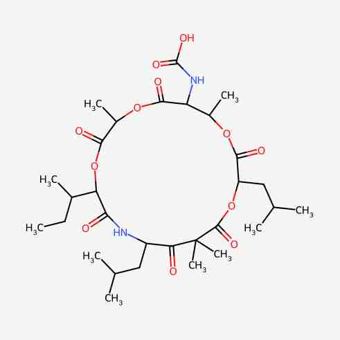 CCC(C)C1OC(=O)C(C)OC(=O)C(NC(=O)O)C(C)OC(=O)C(CC(C)C)OC(=O)C(C)(C)C(=O)C(CC(C)C)NC1=O